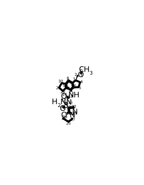 COC[C@H]1CCc2c1cc1c(c2NC(=O)N=[S@](N)(=O)c2cnn3c2OCCC3)CCC1